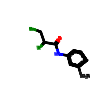 O=C(Nc1cc[c]c(S(=O)(=O)O)c1)C(Br)CBr